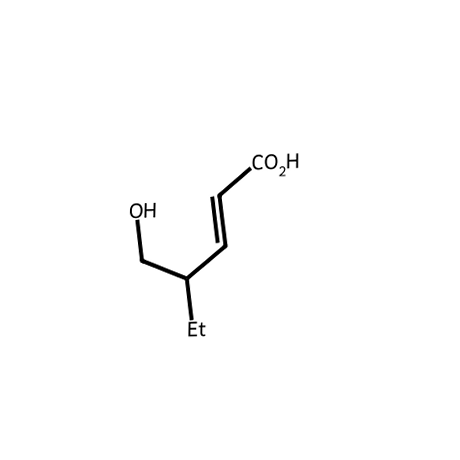 CCC(C=CC(=O)O)CO